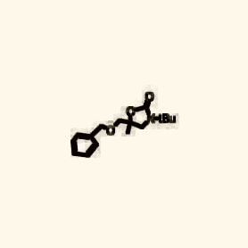 CC1(COCc2ccccc2)CN(C(C)(C)C)C(=O)O1